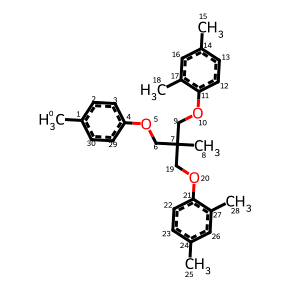 Cc1ccc(OCC(C)(COc2ccc(C)cc2C)COc2ccc(C)cc2C)cc1